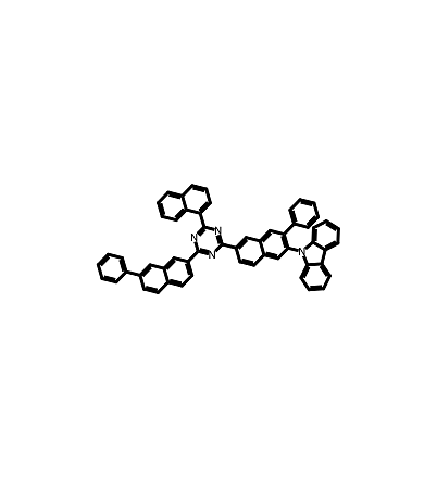 c1ccc(-c2ccc3ccc(-c4nc(-c5ccc6cc(-n7c8ccccc8c8ccccc87)c(-c7ccccc7)cc6c5)nc(-c5cccc6ccccc56)n4)cc3c2)cc1